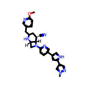 COc1ccc(CC2C[C@H](C#N)[C@H]3[C@H](CN3c3ccc(-c4c[nH]c(-c5cnn(C)c5)c4)cn3)N2)cn1